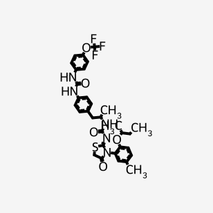 CCC(C)Oc1ccc(C)cc1N1C(=O)CSC1=NC(=O)NC(C)Cc1ccc(NC(=O)Nc2ccc(OC(F)(F)F)cc2)cc1